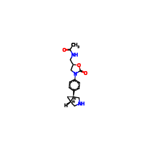 CC(=O)NCC1CN(c2ccc([C@@]34CNC[C@@H]3C4)cc2)C(=O)O1